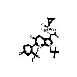 CC(C)(C)Cn1cc([C@H](NS(=O)(=O)C2CC2)C(F)F)c2cc(F)c(-c3ccc(F)cc3C(F)(F)F)nc21